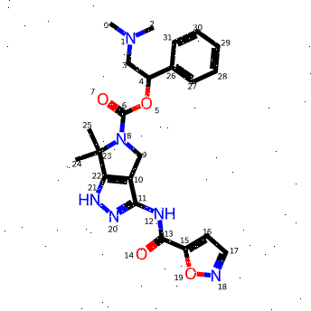 CN(C)CC(OC(=O)N1Cc2c(NC(=O)c3ccno3)n[nH]c2C1(C)C)c1ccccc1